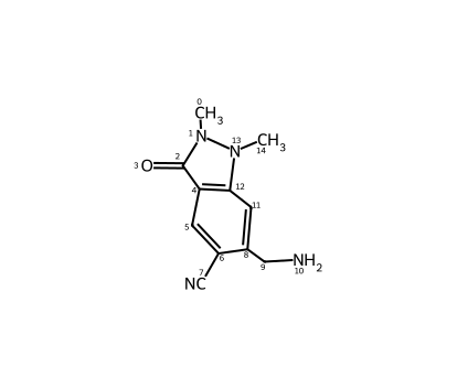 Cn1c(=O)c2cc(C#N)c(CN)cc2n1C